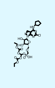 CCOC(=O)OC(OC(=O)OCC)OP(=O)(O)COC[C@H]1O[C@@H](n2ncc3c(NC4CCCC4)nc(Cl)nc32)[C@H](O)[C@@H]1O